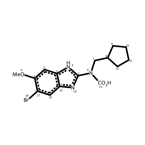 COc1cc2[nH]c(N(CC3CCCC3)C(=O)O)nc2cc1Br